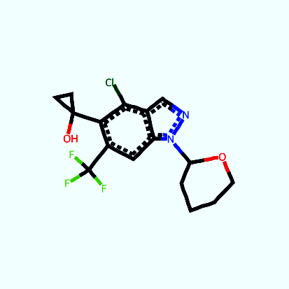 OC1(c2c(C(F)(F)F)cc3c(cnn3C3CCCCO3)c2Cl)CC1